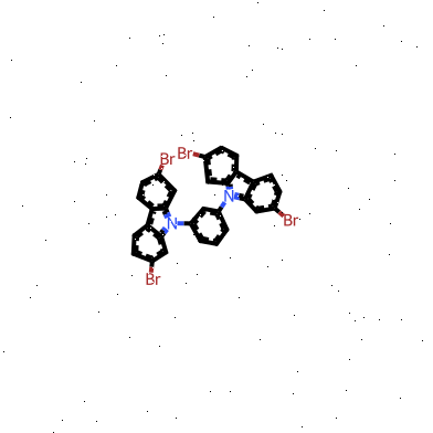 Brc1ccc2c3ccc(Br)cc3n(-c3cccc(-n4c5cc(Br)ccc5c5ccc(Br)cc54)c3)c2c1